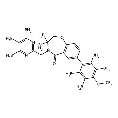 Bc1nc(CN2C(=O)c3cc(-c4c(B)c(B)c(OC(F)(F)F)c(B)c4B)ccc3OCC2(B)B)nc(B)c1B